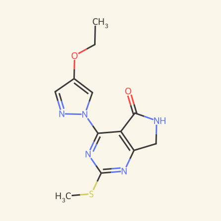 CCOc1cnn(-c2nc(SC)nc3c2C(=O)NC3)c1